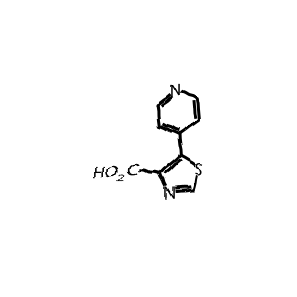 O=C(O)c1ncsc1-c1ccncc1